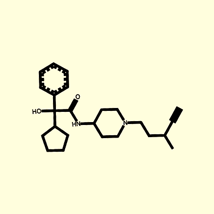 C#CC(C)CCN1CCC(NC(=O)C(O)(c2ccccc2)C2CCCC2)CC1